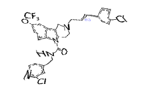 O=C(NCc1ccnc(Cl)c1)n1c2c(c3cc(OC(F)(F)F)ccc31)CN(C/C=C/c1ccc(Cl)cc1)CC2